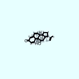 C=C(C)[C@H]1CC[C@H]2[C@@H]3C=CC4=CC(=O)C=C[C@]4(C)[C@H]3[C@@H](O)C[C@]12C